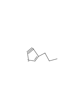 CCCc1c#csc1